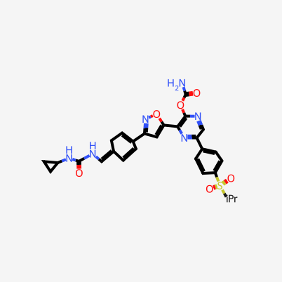 CC(C)S(=O)(=O)c1ccc(-c2cnc(OC(N)=O)c(-c3cc(C4=CCC(=CNC(=O)NC5CC5)C=C4)no3)n2)cc1